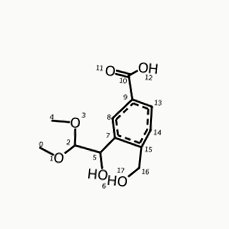 COC(OC)C(O)c1cc(C(=O)O)ccc1CO